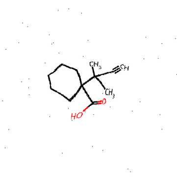 C#CC(C)(C)C1(C(=O)O)CCCCC1